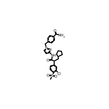 CS(=O)(=O)c1ccc(C(CC2CCCC2)C(=O)Nc2ccn(Cc3ccc(C(N)=O)cc3)n2)cc1Cl